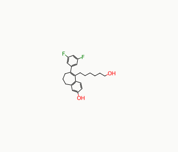 OCCCCCCC1=C(c2cc(F)cc(F)c2)CCCc2cc(O)ccc21